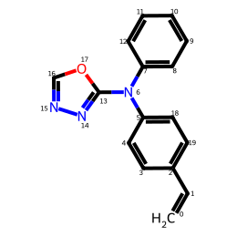 C=Cc1ccc(N(c2ccccc2)c2nnco2)cc1